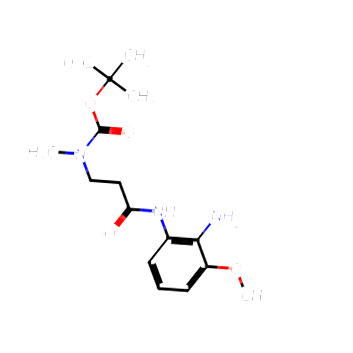 COc1cccc(NC(=O)CCN(C)C(=O)OC(C)(C)C)c1N